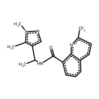 Cc1c(C(C)NC(=O)c2cccc3ccc(C(F)(F)F)nc23)cnn1C